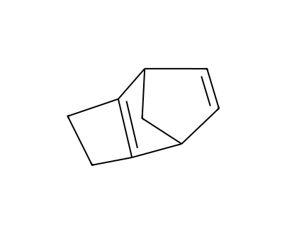 C1=CC2CC1C1=C2CC1